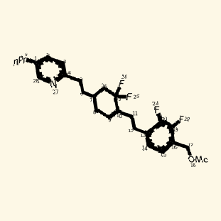 CCCc1ccc(CCC2CCC(CCc3ccc(COC)c(F)c3F)C(F)(F)C2)nc1